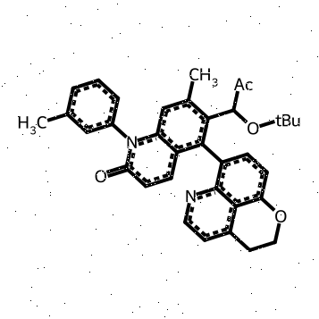 CC(=O)C(OC(C)(C)C)c1c(C)cc2c(ccc(=O)n2-c2cccc(C)c2)c1-c1ccc2c3c(ccnc13)CCO2